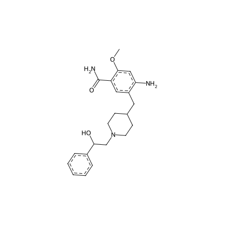 COc1cc(N)c(CC2CCN(CC(O)c3ccccc3)CC2)cc1C(N)=O